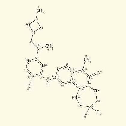 CC1CC(CN(C)c2ncc(Cl)c(Nc3ccc4c(c3)c3c(c(=O)n4C)OCC(F)(F)CN3)n2)O1